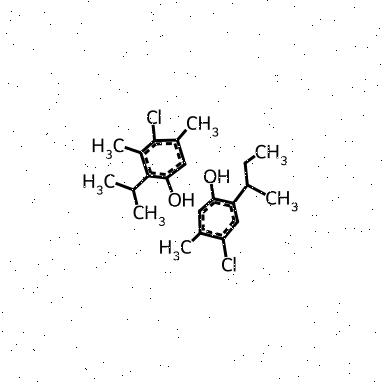 CCC(C)c1cc(Cl)c(C)cc1O.Cc1cc(O)c(C(C)C)c(C)c1Cl